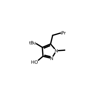 CC(C)Cc1c(C(C)(C)C)c(O)nn1C